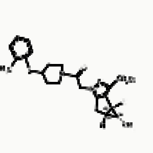 CCOC(=O)c1nn(CC(=O)N2CCC(Sc3ccccc3C)CC2)c2c1[C@@H]1[C@H](C)[C@@H]1C2